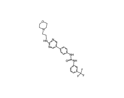 O=C(Nc1ccc(-c2cnc(NCCN3CCOCC3)nc2)cc1)Nc1cccc(C(F)(F)F)c1